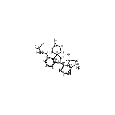 CC(C)NCc1cccc2c1C1(CCNCC1)CN2c1ncnc2c1[C@H](C)C[C@@H]2F